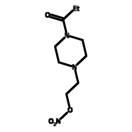 CCC(=O)N1CCN(CCO[N+](=O)[O-])CC1